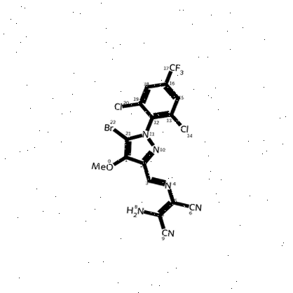 COc1c(C=NC(C#N)=C(N)C#N)nn(-c2c(Cl)cc(C(F)(F)F)cc2Cl)c1Br